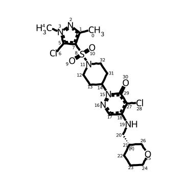 Cc1nn(C)c(Cl)c1S(=O)(=O)N1CCC(n2ncc(NC[C@H]3CCCOC3)c(Cl)c2=O)CC1